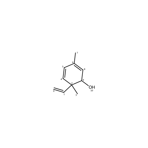 C=CC1(C)C=CC(C)=CC1O